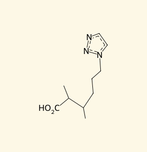 CC(CCCn1ccnn1)C(C)C(=O)O